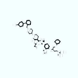 CN(C)CCC(CSc1ccccc1)Nc1ccc(S(=O)(=O)Nc2nc(C(F)(F)F)nc3c2CCN(C2CCN(Cc4ccccc4-c4ccc(Cl)cc4)CC2)C3)cc1S(=O)(=O)F